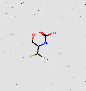 CC(F)C(CO)NC(=O)O